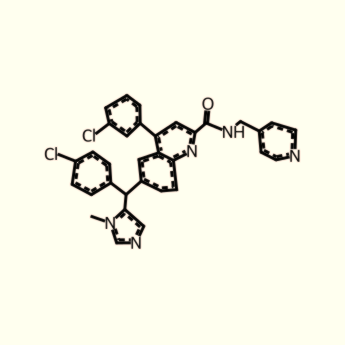 Cn1cncc1C(c1ccc(Cl)cc1)c1ccc2nc(C(=O)NCc3ccncc3)cc(-c3cccc(Cl)c3)c2c1